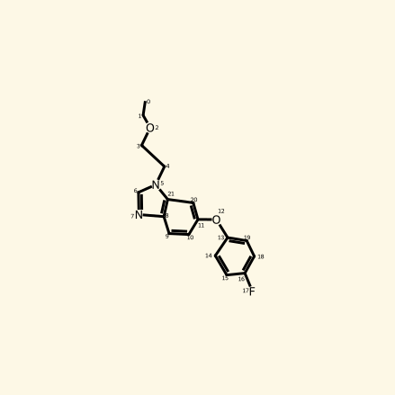 CCOCCn1cnc2ccc(Oc3ccc(F)cc3)cc21